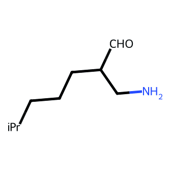 CC(C)CCCC(C=O)CN